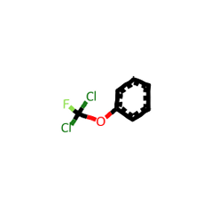 FC(Cl)(Cl)Oc1c[c]ccc1